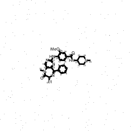 CCC1N=C(c2ccccc2)c2nc(Nc3ccc(C(=O)NC4CCN(C)CC4)cc3OC)ncc2N(C)C1=O